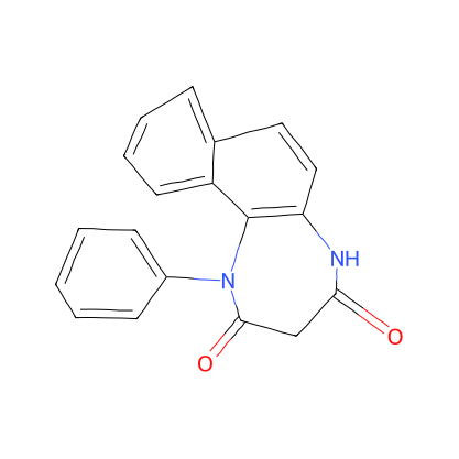 O=C1CC(=O)N(c2ccccc2)c2c(ccc3ccccc23)N1